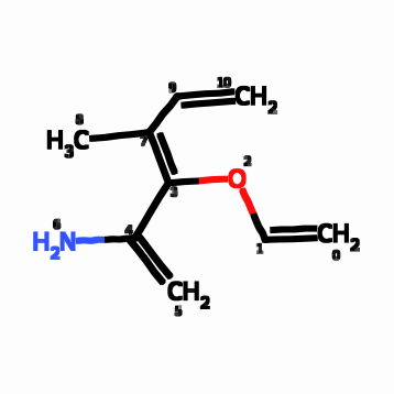 C=CO/C(C(=C)N)=C(/C)C=C